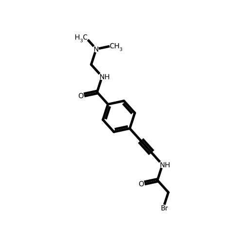 CN(C)CNC(=O)c1ccc(C#CNC(=O)CBr)cc1